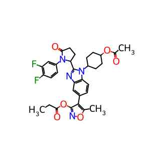 CCC(=O)Oc1noc(C)c1-c1ccc2c(c1)nc(C1CCC(=O)N1c1ccc(F)c(F)c1)n2C1CCC(OC(C)=O)CC1